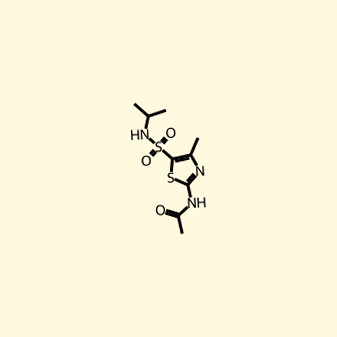 CC(=O)Nc1nc(C)c(S(=O)(=O)NC(C)C)s1